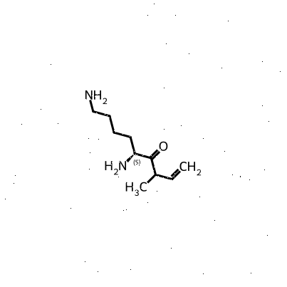 C=CC(C)C(=O)[C@@H](N)CCCCN